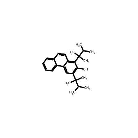 CC(C)C(C)(C)c1cc2c(ccc3ccccc32)c(C(C)(C)C(C)C)c1O